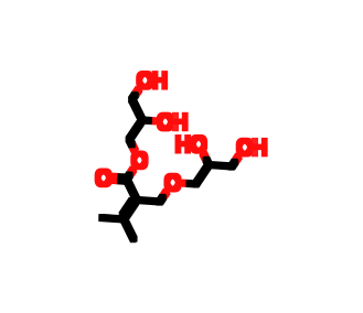 CC(C)=C(COCC(O)CO)C(=O)OCC(O)CO